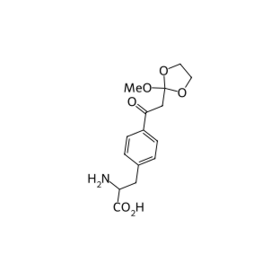 COC1(CC(=O)c2ccc(CC(N)C(=O)O)cc2)OCCO1